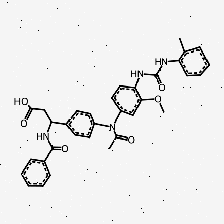 COc1cc(N(C(C)=O)c2ccc(C(CC(=O)O)NC(=O)c3ccccc3)cc2)ccc1NC(=O)Nc1ccccc1C